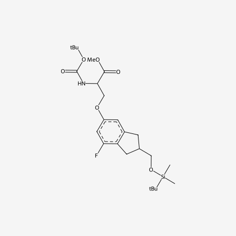 COC(=O)C(COc1cc(F)c2c(c1)CC(CO[Si](C)(C)C(C)(C)C)C2)NC(=O)OC(C)(C)C